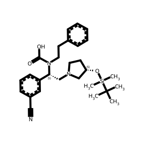 CC(C)(C)[Si](C)(C)O[C@H]1CCN(C[C@H](c2cccc(C#N)c2)N(CCc2ccccc2)C(=O)O)C1